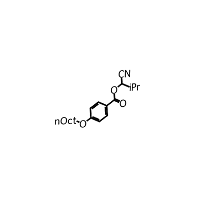 CCCCCCCCOc1ccc(C(=O)OC(C#N)C(C)C)cc1